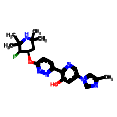 Cc1cn(-c2cnc(-c3ccc(O[C@@H]4CC(C)(C)NC(C)(C)[C@@H]4F)nn3)c(O)c2)cn1